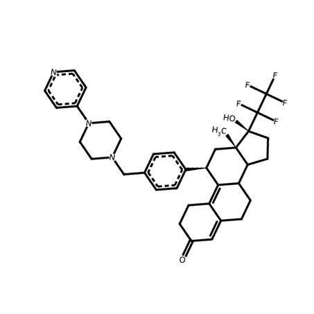 C[C@]12C[C@H](c3ccc(CN4CCN(c5ccncc5)CC4)cc3)C3=C4CCC(=O)C=C4CCC3C1CC[C@@]2(O)C(F)(F)C(F)(F)F